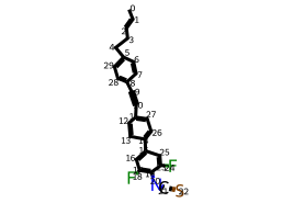 C/C=C/CCc1ccc(C#Cc2ccc(-c3cc(F)c(N=C=S)c(F)c3)cc2)cc1